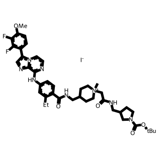 CCc1cc(Nc2nccn3c(-c4ccc(OC)c(F)c4F)cnc23)ccc1C(=O)NCC1CC[N+](C)(CC(=O)NCC2CCN(C(=O)OC(C)(C)C)C2)CC1.[I-]